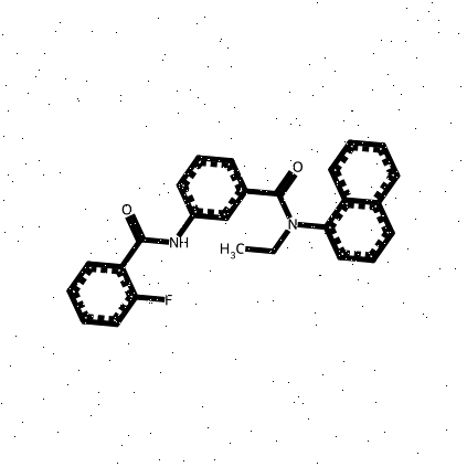 CCN(C(=O)c1cccc(NC(=O)c2ccccc2F)c1)c1cccc2ccccc12